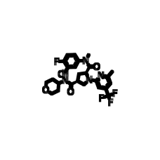 Cc1cc(C(F)(F)F)cc(N2C[C@@H](C(=O)NC3CCOCC3)C[C@H]2C(=O)N(C)c2ccc(F)c(Cl)c2)n1